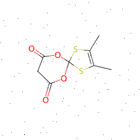 CC1=C(C)SC2(OC(=O)CC(=O)O2)S1